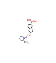 CC1CCCCN1CCOc1ccc2cc(B(O)O)ccc2c1